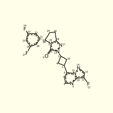 O=c1n(C2CC(c3ccnc4c(F)cnn34)C2)nc2n1[C@H](c1cc(F)cc(F)c1)CC2